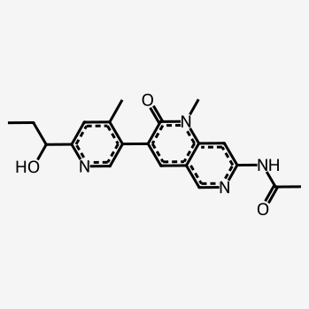 CCC(O)c1cc(C)c(-c2cc3cnc(NC(C)=O)cc3n(C)c2=O)cn1